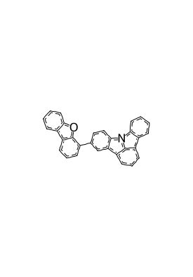 c1ccc2c(c1)oc1c(-c3ccc4c(c3)c3cccc5c6ccccc6n4c53)cccc12